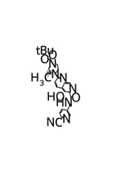 C[C@@H]1CN(C(=O)OC(C)(C)C)CCN1c1ccc2c(O)c(C(=O)NCc3ccc(C#N)nc3)ncc2n1